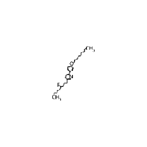 CCCCCCCCCOc1ccc(-c2ccc(CCCC(F)CCCCC)cn2)cc1